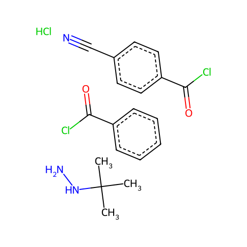 CC(C)(C)NN.Cl.N#Cc1ccc(C(=O)Cl)cc1.O=C(Cl)c1ccccc1